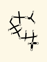 C[C]1([Cf]=[C](F)F)OCC(F)(C(F)(F)OC(F)(F)C(F)(F)S(=O)(=O)F)O1